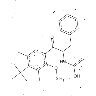 Cc1cc(C(=O)C(Cc2ccccc2)NC(=O)O)c(O[SiH3])c(C)c1C(C)(C)C